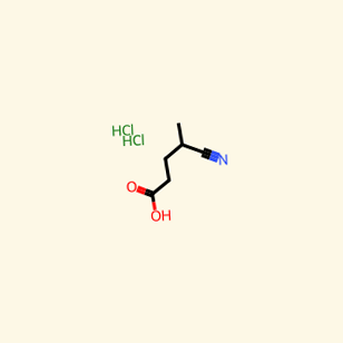 CC(C#N)CCC(=O)O.Cl.Cl